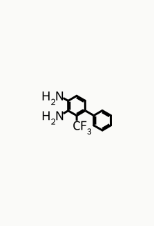 Nc1ccc(-c2ccccc2)c(C(F)(F)F)c1N